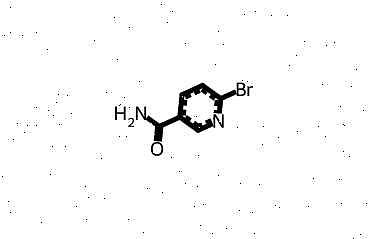 NC(=O)c1ccc(Br)nc1